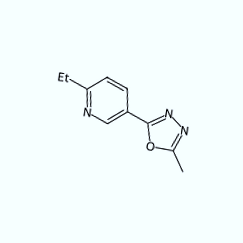 CCc1ccc(-c2nnc(C)o2)cn1